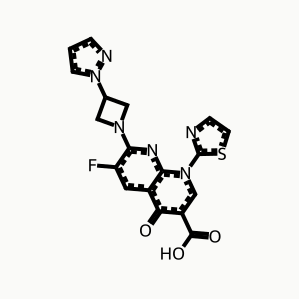 O=C(O)c1cn(-c2nccs2)c2nc(N3CC(n4cccn4)C3)c(F)cc2c1=O